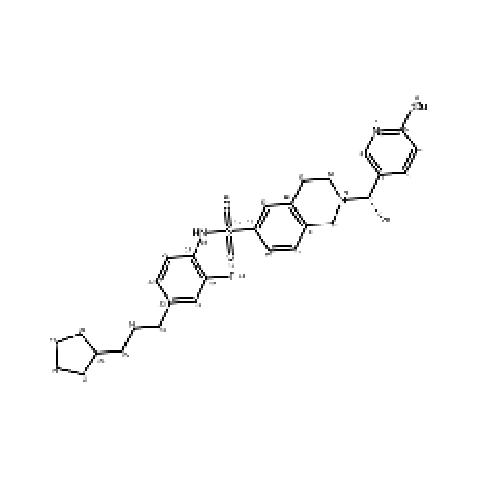 C[C@@H](c1ccc(C(C)(C)C)nc1)N1CCc2cc(S(=O)(=O)Nc3ccc(CCCC4CCCC4)cc3F)ccc2C1